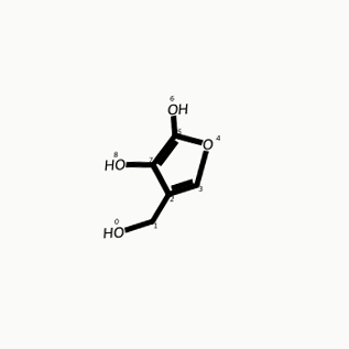 OCc1coc(O)c1O